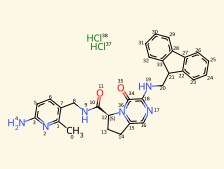 Cc1nc(N)ccc1CNC(=O)[C@@H]1CCc2cnc(NCC3c4ccccc4-c4ccccc43)c(=O)n21.Cl.Cl